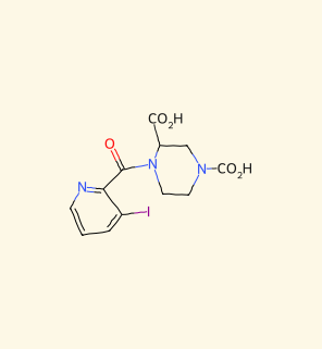 O=C(O)C1CN(C(=O)O)CCN1C(=O)c1ncccc1I